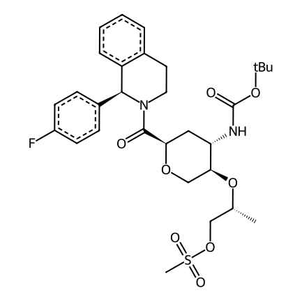 C[C@H](COS(C)(=O)=O)O[C@H]1CO[C@@H](C(=O)N2CCc3ccccc3[C@@H]2c2ccc(F)cc2)C[C@@H]1NC(=O)OC(C)(C)C